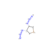 [N-]=[N+]=N[C@H]1CSC[C@H]1N=[N+]=[N-]